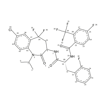 CC(C)N1C(=O)C(NC(=O)[C@@H](Cc2ccccc2F)NC(=O)c2ccc(F)cc2C(F)(F)F)CC(F)(F)c2cc(Cl)ccc21